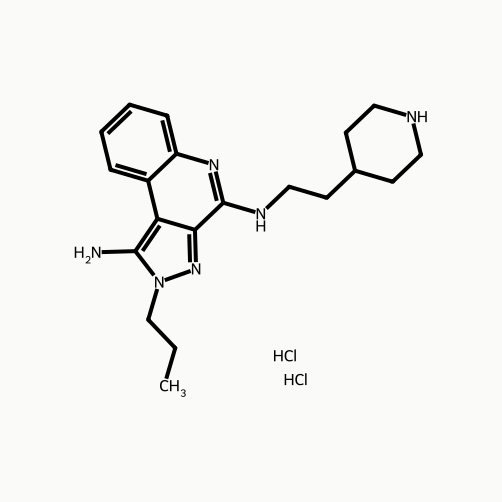 CCCn1nc2c(NCCC3CCNCC3)nc3ccccc3c2c1N.Cl.Cl